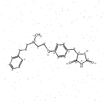 CN(CCCc1ccccc1)CCOc1ccc(CC2SC(=O)NC2=O)cc1